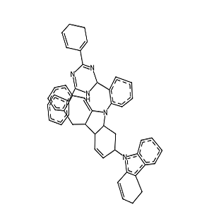 C1=CC(C2=NC(c3ccccc3N3C4=Cc5ccccc5CC4C4C=CC(n5c6c(c7ccccc75)CCC=C6)CC43)NC(c3ccccc3)=N2)=CCC1